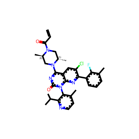 C=CC(=O)N1C[C@H](C)N(c2nc(=O)n(-c3c(C)ccnc3C(C)C)c3nc(-c4cccc(C)c4F)c(Cl)cc23)C[C@H]1C